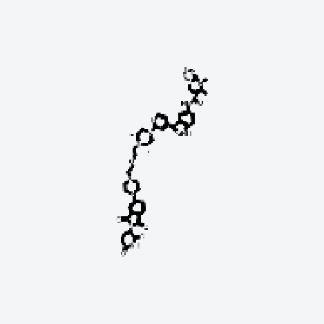 CC1=C(C(=O)Nc2ccc3[nH]nc(-c4ccnc(N5C[C@@H](C)N(CCOCCN6CCN(c7ccc8c(c7)C(=O)N(C7CCC(=O)NC7=O)C8=O)CC6)[C@@H](C)C5)c4)c3c2)Cn2nnnc2N1C